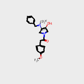 O=C(Cc1ccc(OC(F)(F)F)cc1)N1C[C@@H](N(Cc2ccccc2)C(=O)O)[C@@H](O)C1